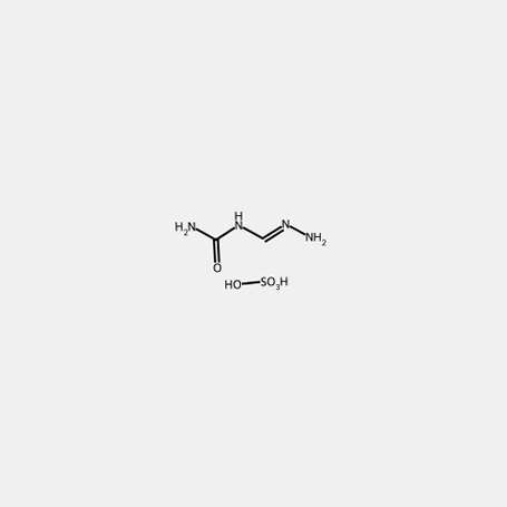 NN=CNC(N)=O.O=S(=O)(O)O